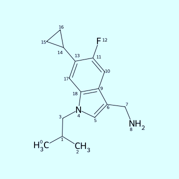 CC(C)Cn1cc(CN)c2cc(F)c(C3CC3)cc21